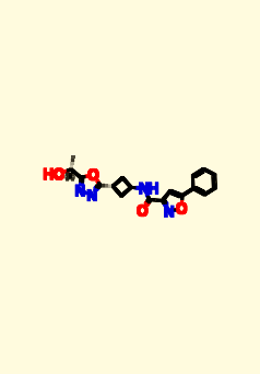 C[C@@H](O)c1nnc([C@H]2C[C@H](NC(=O)c3cc(-c4ccccc4)on3)C2)o1